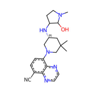 CN1CCC(N[C@H]2CN(c3ccc(C#N)c4nccnc34)CC(C)(C)C2)C1O